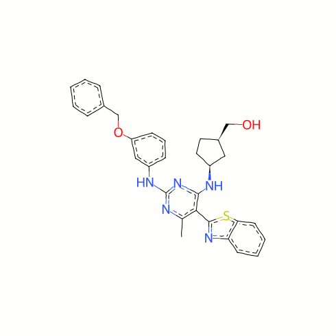 Cc1nc(Nc2cccc(OCc3ccccc3)c2)nc(N[C@H]2CC[C@@H](CO)C2)c1-c1nc2ccccc2s1